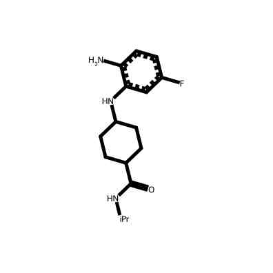 CC(C)NC(=O)C1CCC(Nc2cc(F)ccc2N)CC1